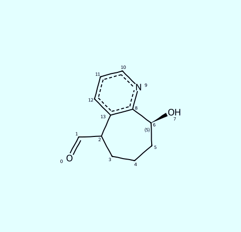 O=CC1CCC[C@H](O)c2ncccc21